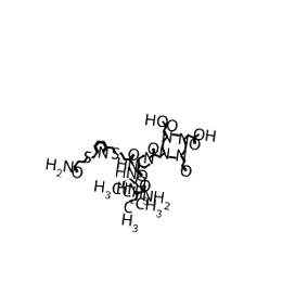 CC[C@H](C)[C@H](NC(=O)[C@H](CC(C)C)NC(=O)C1(NC(=O)CCSCc2cccc(CSCCC(N)=O)n2)CCN(C(=O)CN2CCN(CC=O)CCN(CC(=O)O)CCN(CC(=O)O)CC2)CC1)C(N)=O